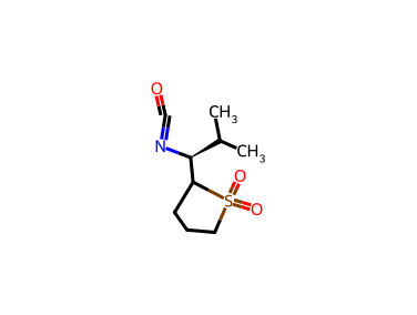 CC(C)[C@H](N=C=O)C1CCCS1(=O)=O